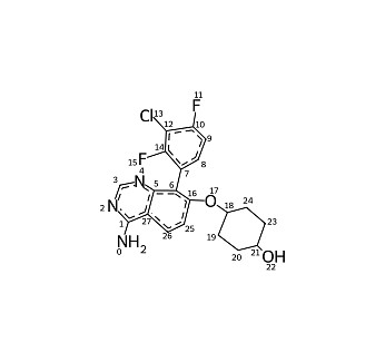 Nc1ncnc2c(-c3ccc(F)c(Cl)c3F)c(OC3CCC(O)CC3)ccc12